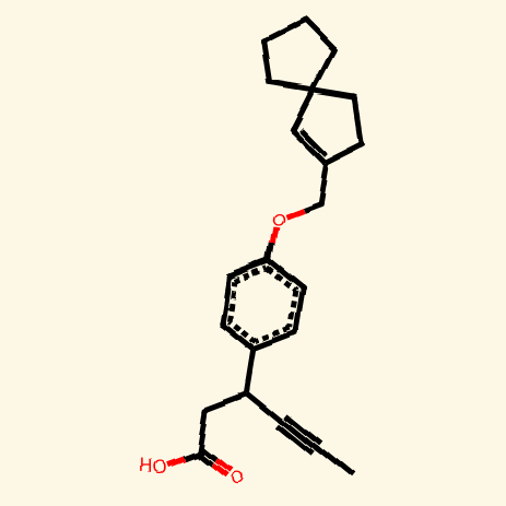 CC#CC(CC(=O)O)c1ccc(OCC2=CC3(CCCC3)CC2)cc1